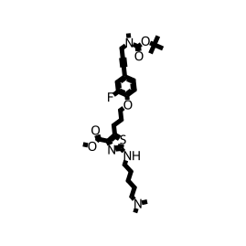 COC(=O)c1nc(NCCCCCN(C)C)sc1CCCOc1ccc(C#CCN(C)C(=O)OC(C)(C)C)cc1F